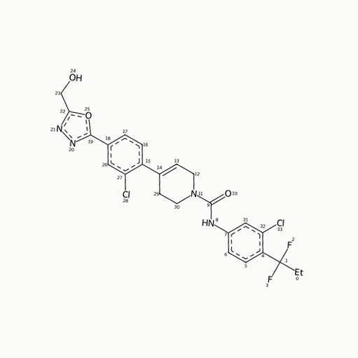 CCC(F)(F)c1ccc(NC(=O)N2CC=C(c3ccc(-c4nnc(CO)o4)cc3Cl)CC2)cc1Cl